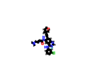 CN(C)C/C=C/C(=O)Nc1cc2c(Nc3cccc(Cl)c3F)ncnc2cc1C#CC1(C)CCOC1